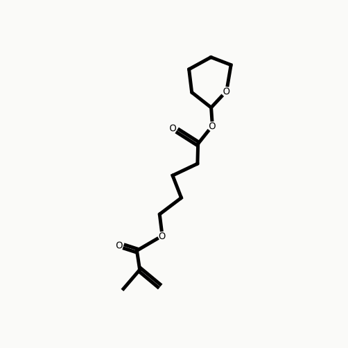 C=C(C)C(=O)OCCCCC(=O)OC1CCCCO1